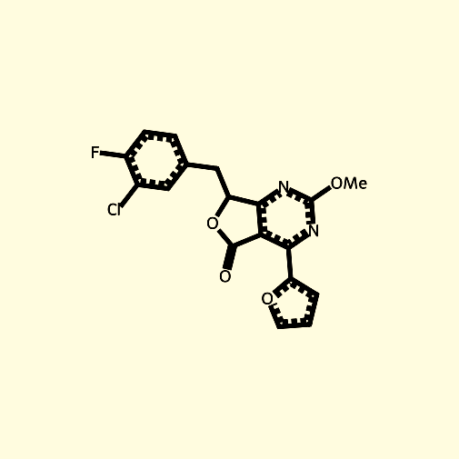 COc1nc(-c2ccco2)c2c(n1)C(Cc1ccc(F)c(Cl)c1)OC2=O